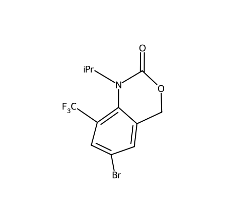 CC(C)N1C(=O)OCc2cc(Br)cc(C(F)(F)F)c21